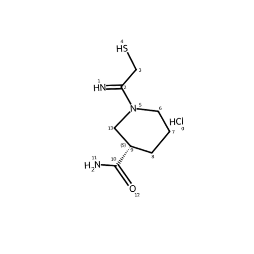 Cl.N=C(CS)N1CCC[C@H](C(N)=O)C1